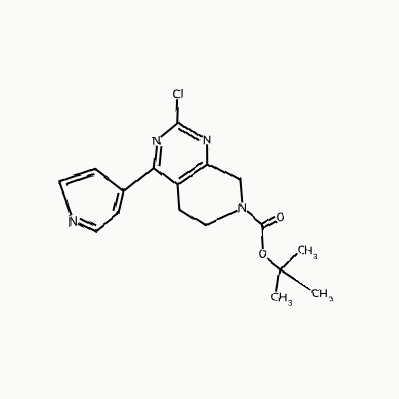 CC(C)(C)OC(=O)N1CCc2c(nc(Cl)nc2-c2ccncc2)C1